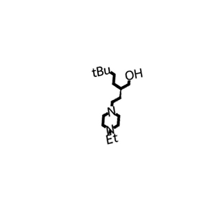 CCN1CCN(CC[C@H](CO)CCC(C)(C)C)CC1